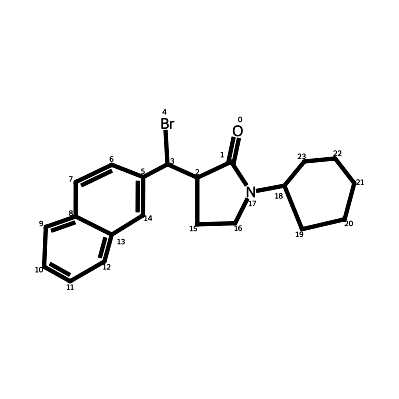 O=C1C(C(Br)c2ccc3ccccc3c2)CCN1C1CCCCC1